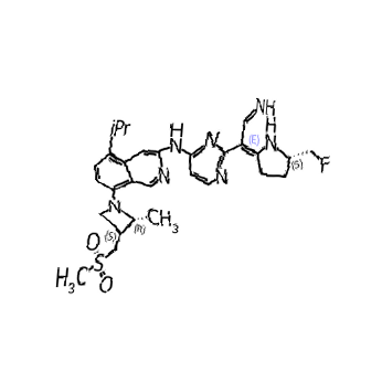 CC(C)c1ccc(N2C[C@H](CS(C)(=O)=O)[C@H]2C)c2cnc(Nc3ccnc(/C(C=N)=C4\CC[C@@H](CF)N4)n3)cc12